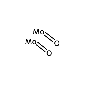 [O]=[Mo].[O]=[Mo]